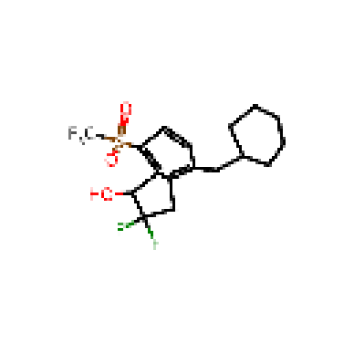 O=S(=O)(c1ccc(CC2CCCCC2)c2c1C(O)C(F)(F)C2)C(F)(F)F